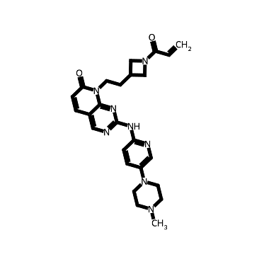 C=CC(=O)N1CC(CCn2c(=O)ccc3cnc(Nc4ccc(N5CCN(C)CC5)cn4)nc32)C1